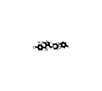 Cc1ccc2c(c1)OC1(CCN(Cc3csc(N)c3C(=O)c3ccc(Cl)cc3)CC1)O2